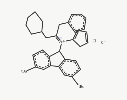 CC(C)(C)c1ccc2c(c1)-c1cc(C(C)(C)C)ccc1[CH]2/[Zr+2]([C]1=CC=CC1)=[C](/Cc1ccccc1)CC1CCCCC1.[Cl-].[Cl-]